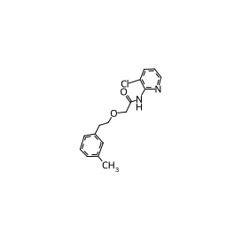 Cc1cccc(CCOCC(=O)Nc2ncccc2Cl)c1